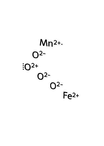 [Fe+2].[Mn+2].[O+2].[O-2].[O-2].[O-2]